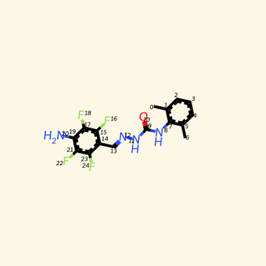 Cc1cccc(C)c1NC(=O)N/N=C/c1c(F)c(F)c(N)c(F)c1F